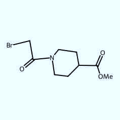 COC(=O)C1CCN(C(=O)CBr)CC1